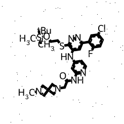 CN1CC2(C1)CN(CC(=O)Nc1cc(Nc3cc(-c4cc(Cl)ccc4F)nnc3SCCO[Si](C)(C)C(C)(C)C)ccn1)C2